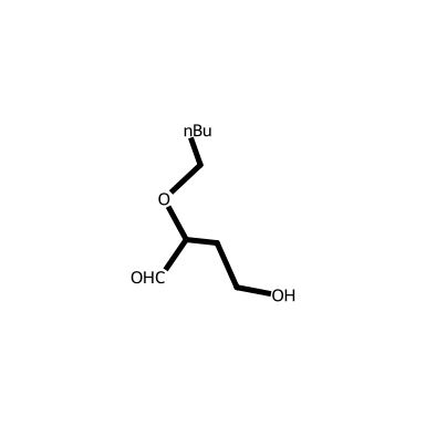 CCCCCOC(C=O)CCO